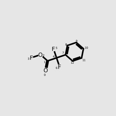 O=C(OF)C(F)(F)c1ccccc1